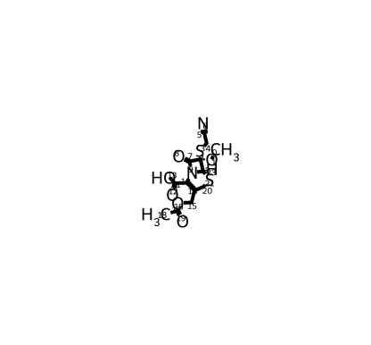 CO[C@@]1(SCC#N)C(=O)N2C(C(=O)O)=C(COC(C)=O)CS[C@@H]21